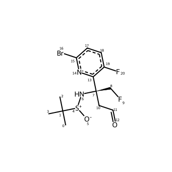 CC(C)(C)[S+]([O-])N[C@@](CF)(CC=O)c1nc(Br)ccc1F